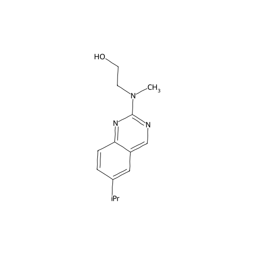 CC(C)c1ccc2nc(N(C)CCO)ncc2c1